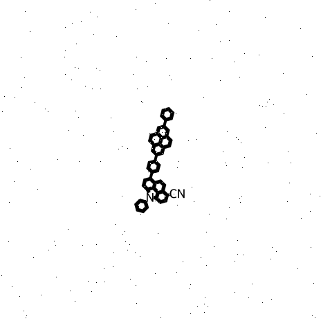 N#Cc1ccc2c3c1ccc1c(-c4ccc(-c5cc6ccc7cc(-c8ccccc8)cc8ccc(c5)c6c78)cc4)ccc(c13)n2-c1ccccc1